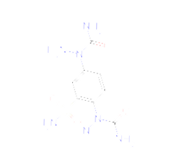 NC(=O)N(N)c1ccc(N(N)C(N)=O)c(S(N)(=O)=O)c1